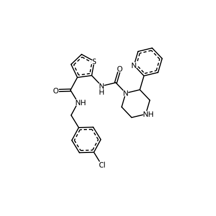 O=C(NCc1ccc(Cl)cc1)c1ccsc1NC(=O)N1CCNCC1c1ccccn1